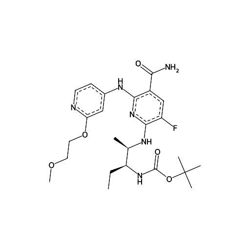 CC[C@H](NC(=O)OC(C)(C)C)[C@@H](C)Nc1nc(Nc2ccnc(OCCOC)c2)c(C(N)=O)cc1F